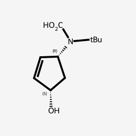 CC(C)(C)N(C(=O)O)[C@H]1C=C[C@@H](O)C1